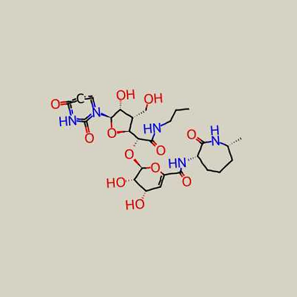 CCCNC(=O)[C@H](O[C@H]1OC(C(=O)N[C@H]2CCC[C@@H](C)NC2=O)=C[C@H](O)[C@@H]1O)[C@H]1O[C@@H](n2ccc(=O)[nH]c2=O)[C@H](O)[C@@H]1CO